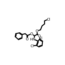 O=C(Cc1ccccc1)OC(Nc1c(Cl)cccc1Cl)C(=O)OCCCCCl